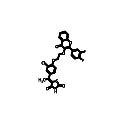 CC(=C1SC(=O)NC1=O)c1ccc(OCCOc2c(-c3ccc(F)c(F)c3)oc3ccccc3c2=O)c(Cl)c1